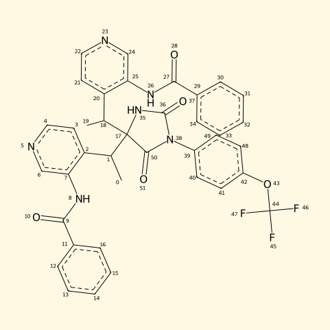 CC(c1ccncc1NC(=O)c1ccccc1)C1(C(C)c2ccncc2NC(=O)c2ccccc2)NC(=O)N(c2ccc(OC(F)(F)F)cc2)C1=O